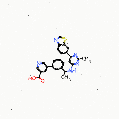 Cc1nc(NC(C)c2cccc(-c3cncc(C(=O)O)c3)c2)cc(-c2ccc3ncsc3c2)n1